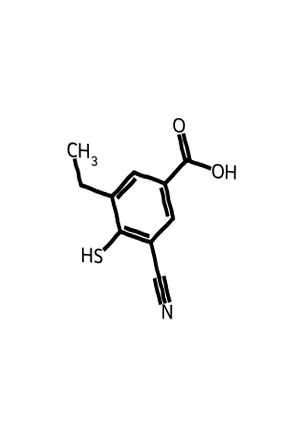 CCc1cc(C(=O)O)cc(C#N)c1S